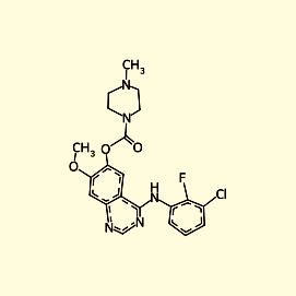 COc1cc2ncnc(Nc3cccc(Cl)c3F)c2cc1OC(=O)N1CCN(C)CC1